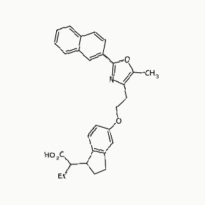 CCC(C(=O)O)C1CCc2cc(OCCc3nc(-c4ccc5ccccc5c4)oc3C)ccc21